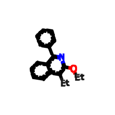 CCOc1nc(-c2ccccc2)c2ccccc2c1CC